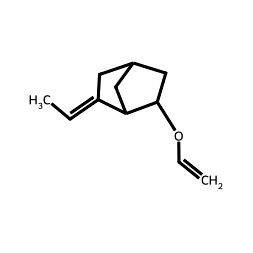 C=COC1CC2C/C(=C\C)C1C2